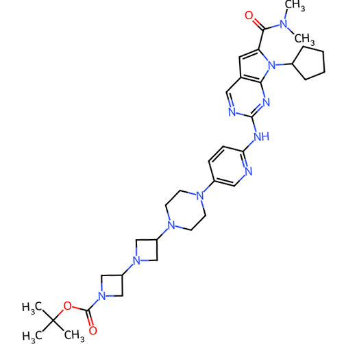 CN(C)C(=O)c1cc2cnc(Nc3ccc(N4CCN(C5CN(C6CN(C(=O)OC(C)(C)C)C6)C5)CC4)cn3)nc2n1C1CCCC1